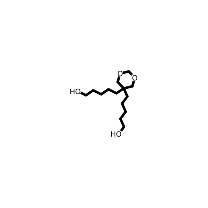 OCCCCCC1(CCCCCO)COCOC1